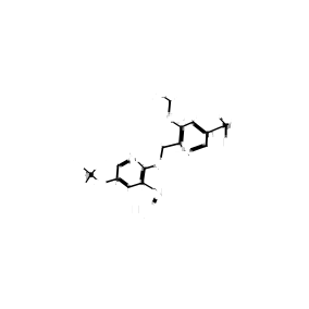 C=Nc1cc(SC(F)(F)F)cnc1OCc1ncc(C(F)(F)F)cc1SCC